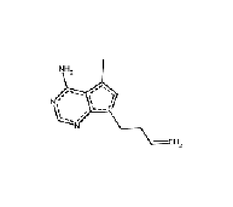 C=CCCn1cc(I)c2c(N)ncnc21